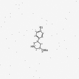 CCc1ccc(C2CNCC(OC)C2)cc1